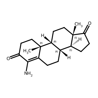 C[C@]12CCC(=O)C(N)=C1CC[C@@H]1[C@H]2CC[C@]2(C)C(=O)CC[C@@H]12